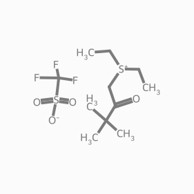 CC[S+](CC)CC(=O)C(C)(C)C.O=S(=O)([O-])C(F)(F)F